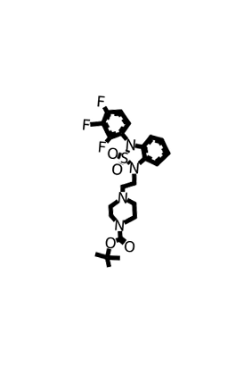 CC(C)(C)OC(=O)N1CCN(CCN2c3ccccc3N(c3ccc(F)c(F)c3F)S2(=O)=O)CC1